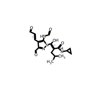 CC(C)C/C(C(=O)NC1CC1)=C(/O)n1nc(C=O)c(/C=C/C=O)c1NC=O